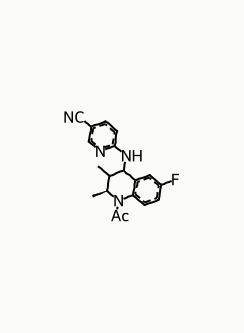 CC(=O)N1c2ccc(F)cc2C(Nc2ccc(C#N)cn2)C(C)[C@@H]1C